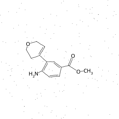 COC(=O)c1ccc(N)c(C2=CCOCC2)c1